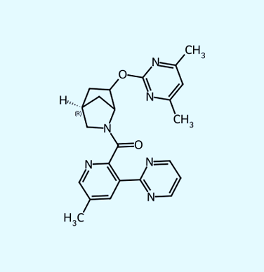 Cc1cnc(C(=O)N2C[C@H]3CC(Oc4nc(C)cc(C)n4)C2C3)c(-c2ncccn2)c1